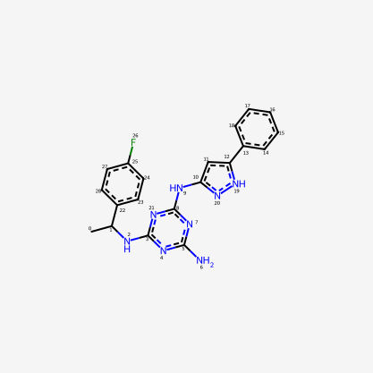 CC(Nc1nc(N)nc(Nc2cc(-c3ccccc3)[nH]n2)n1)c1ccc(F)cc1